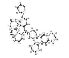 c1ccc(-c2ccc(N(c3ccc(-c4cc5ccccc5cc4-c4ccccc4)cc3)c3cccc4oc5ccccc5c34)cc2)cc1